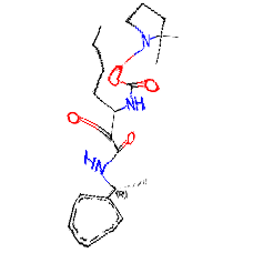 CCCCC(NC(=O)ON1CCCC1(C)C)C(=O)C(=O)N[C@H](C)c1ccccc1